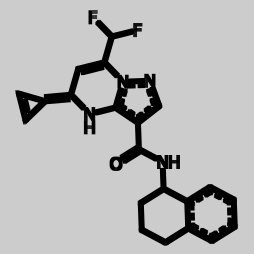 O=C(NC1CCCc2ccccc21)c1cnn2c1NC(=C1C=C1)C=C2C(F)F